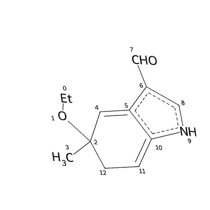 CCOC1(C)C=c2c(C=O)c[nH]c2=CC1